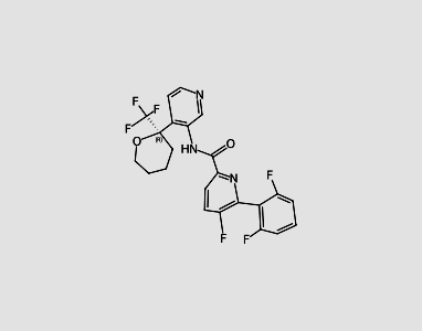 O=C(Nc1cnccc1[C@@]1(C(F)(F)F)CCCCO1)c1ccc(F)c(-c2c(F)cccc2F)n1